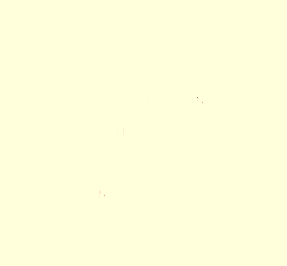 CCN1C(=CC2=C(OC)C(C=C3Sc4ccccc4N3CC)C2O)Sc2ccccc21